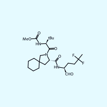 COC(=O)N[C@H](C(=O)N1CC2(CCCCC2)C[C@H]1C(=O)N[C@H](C=O)CCC(C)(F)F)C(C)(C)C